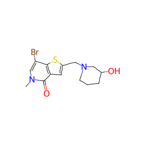 Cn1cc(Br)c2sc(CN3CCCC(O)C3)cc2c1=O